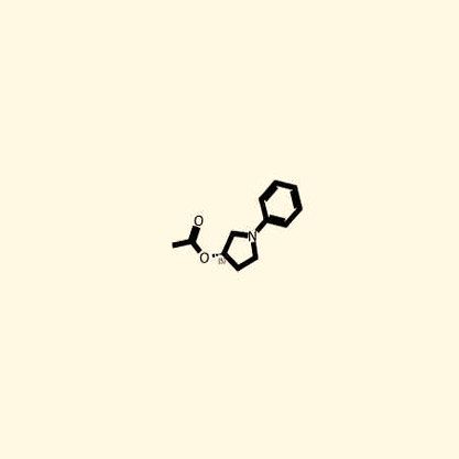 CC(=O)O[C@H]1CCN(c2ccccc2)C1